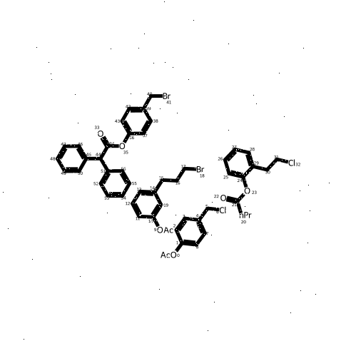 CC(=O)Oc1ccc(CCl)cc1.CC(=O)Oc1cccc(CCCBr)c1.CCCC(=O)Oc1ccccc1CCCl.O=C(Oc1ccc(CBr)cc1)C(c1ccccc1)c1ccccc1